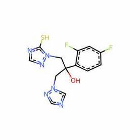 OC(Cn1cncn1)(Cn1ncnc1S)c1ccc(F)cc1F